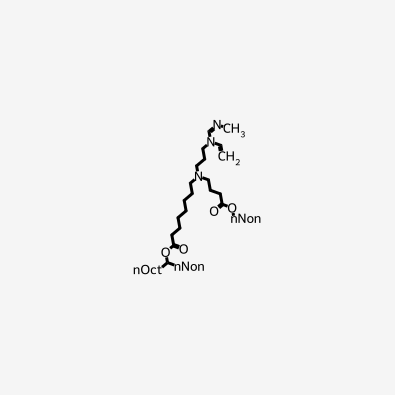 C=CN(/C=N\C)CCCN(CCCCCCCC(=O)OC(CCCCCCCC)CCCCCCCCC)CCCC(=O)OCCCCCCCCC